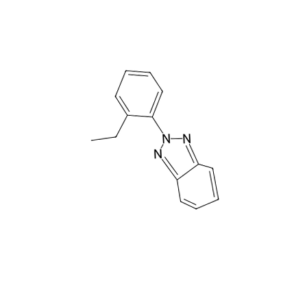 CCc1ccccc1-n1nc2ccccc2n1